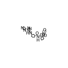 Cn1c(CNc2cccc(C(=O)NCc3ccccc3S(=O)(=O)N3CCOCC3)c2)nnc1-c1ccncn1